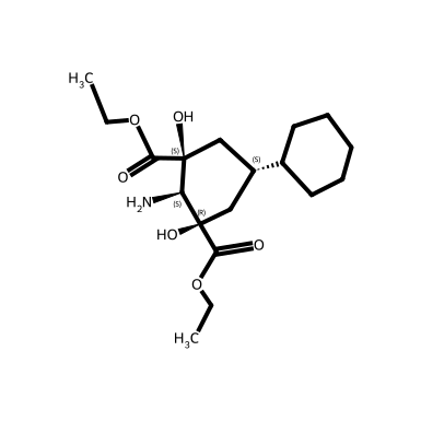 CCOC(=O)[C@]1(O)C[C@H](C2CCCCC2)C[C@](O)(C(=O)OCC)[C@H]1N